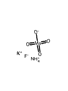 [F-].[K+].[NH4+].[O]=[Mn](=[O])(=[O])[O-]